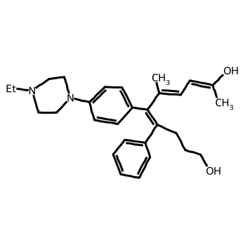 CCN1CCN(c2ccc(C(=C(/CCCO)c3ccccc3)/C(C)=C/C=C(\C)O)cc2)CC1